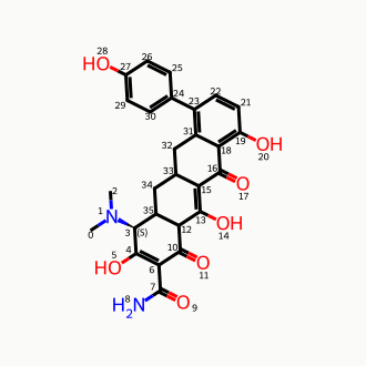 CN(C)[C@@H]1C(O)=C(C(N)=O)C(=O)C2C(O)=C3C(=O)c4c(O)ccc(-c5ccc(O)cc5)c4CC3CC21